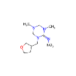 CN1CN(C)C(=N[N+](=O)[O-])N(CC2CCOC2)C1